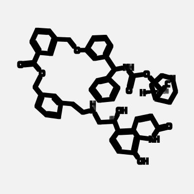 O=C(NC(c1ccccc1)c1cccc(OCc2cccc(C(=O)OCc3cccc(CCNC[C@@H](O)c4ccc(O)c5[nH]c(=O)ccc45)c3)c2)c1)O[C@H]1CN2CCC1CC2